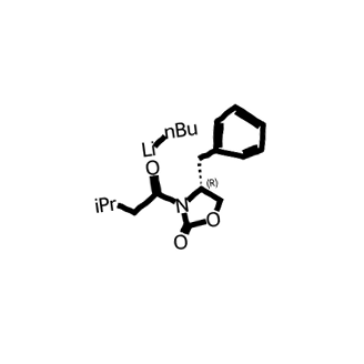 CC(C)CC(=O)N1C(=O)OC[C@H]1Cc1ccccc1.[Li][CH2]CCC